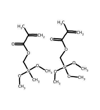 C=C(C)C(=O)OC[Si](C)(OC)OC.C=C(C)C(=O)OC[Si](OC)(OC)OC